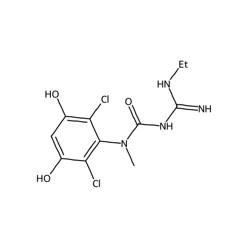 CCNC(=N)NC(=O)N(C)c1c(Cl)c(O)cc(O)c1Cl